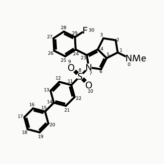 CNC1CCc2c1cn(S(=O)(=O)c1ccc(-c3ccccc3)cc1)c2-c1ccccc1F